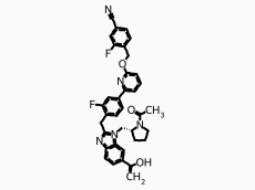 C=C(O)c1ccc2nc(Cc3ccc(-c4cccc(OCc5ccc(C#N)cc5F)n4)cc3F)n(C[C@H]3CCCN3C(C)=O)c2c1